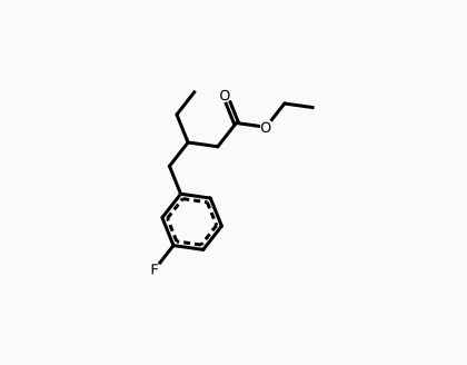 CCOC(=O)C[C](CC)Cc1cccc(F)c1